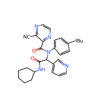 CC(C)(C)c1ccc(N(C(=O)c2nccnc2C#N)C(C(=O)NC2CCCCC2)c2cccnc2)cc1